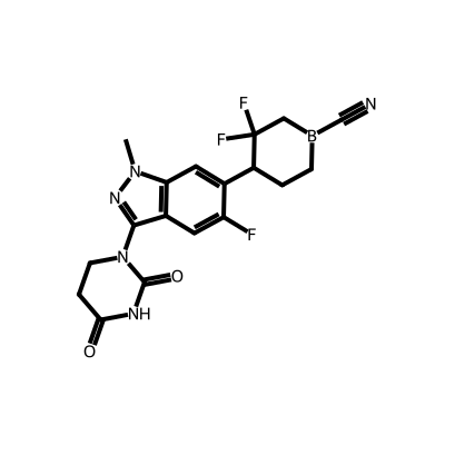 Cn1nc(N2CCC(=O)NC2=O)c2cc(F)c(C3CCB(C#N)CC3(F)F)cc21